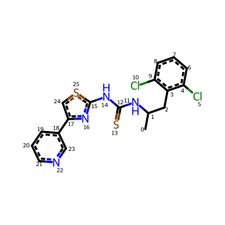 CC(Cc1c(Cl)cccc1Cl)NC(=S)Nc1nc(-c2cccnc2)cs1